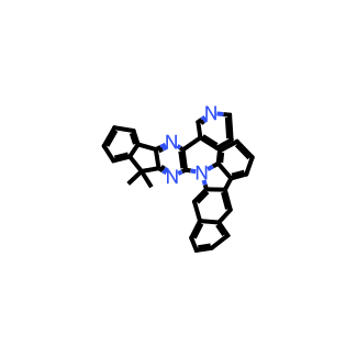 CC1(C)c2ccccc2-c2nc(-c3cccnc3)c(-n3c4ccccc4c4cc5ccccc5cc43)nc21